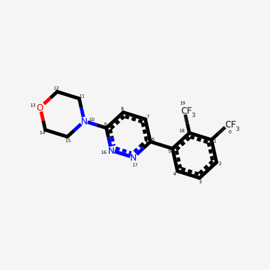 FC(F)(F)c1cccc(-c2ccc(N3CCOCC3)nn2)c1C(F)(F)F